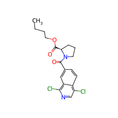 CCCCOC(=O)[C@H]1CCCN1C(=O)c1ccc2c(Cl)cnc(Cl)c2c1